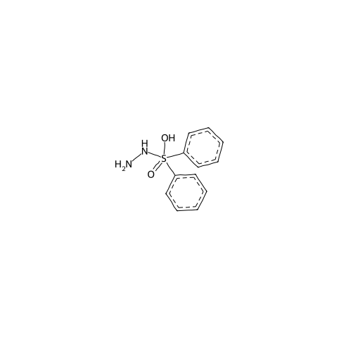 NNS(=O)(O)(c1ccccc1)c1ccccc1